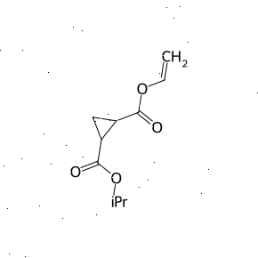 C=COC(=O)C1CC1C(=O)OC(C)C